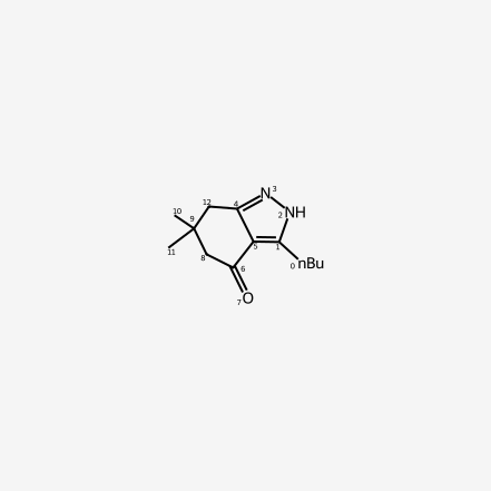 CCCCc1[nH]nc2c1C(=O)CC(C)(C)C2